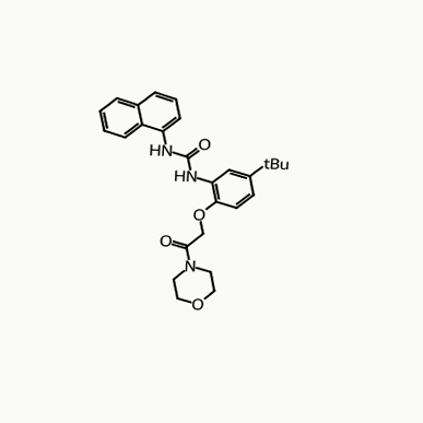 CC(C)(C)c1ccc(OCC(=O)N2CCOCC2)c(NC(=O)Nc2cccc3ccccc23)c1